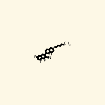 CCCCCCC[C@@H]1CC[C@@H]2CC(c3cc4cc(F)cc(F)c4c(F)c3C#N)CCC2C1